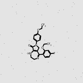 O=C1C2=C(CN1c1ccc(OCC(F)(F)F)cc1)C(c1ccc(F)cc1OCC(F)(F)F)=NCCN2